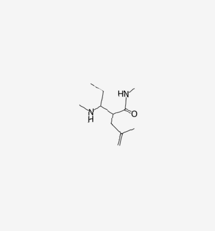 C=C(C)CC(C(=O)NC)C(CC)NC